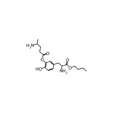 CCCCOC(=O)[C@@H](N)Cc1ccc(O)c(OC(=O)CCC(C)N)c1